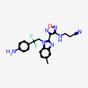 Cc1ccc2c(c1)nc(-c1nonc1NCCC#N)n2CC(F)(F)c1ccc(N)cc1